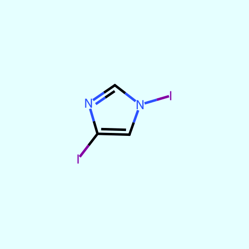 Ic1cn(I)cn1